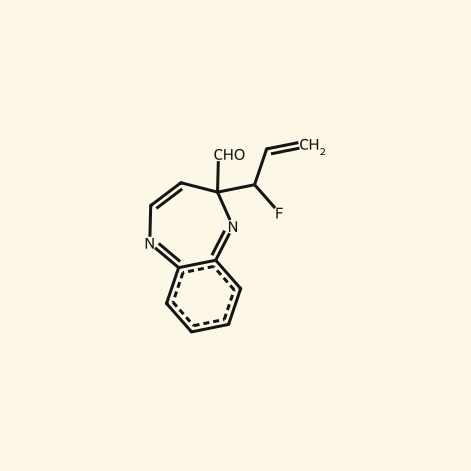 C=CC(F)C1(C=O)C=CN=c2ccccc2=N1